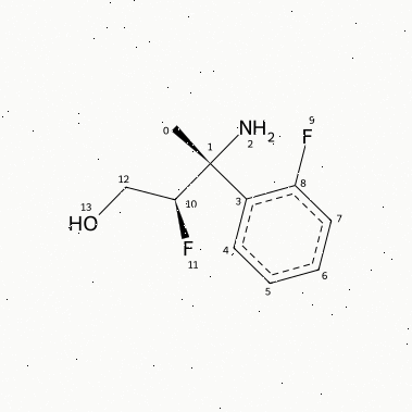 C[C@@](N)(c1ccccc1F)[C@@H](F)CO